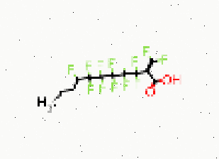 CCCC(F)C(F)(F)C(F)(F)C(F)(F)C(F)(F)C(F)(F)C(C(=O)O)=C(F)F